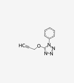 C#CCOc1nnnn1-c1ccccc1